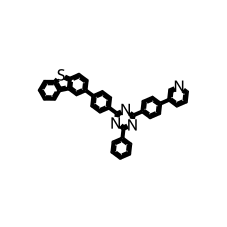 c1ccc(-c2nc(-c3ccc(-c4cccnc4)cc3)nc(-c3ccc(-c4ccc5sc6ccccc6c5c4)cc3)n2)cc1